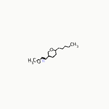 CCCCCC1CCC(/C=C/OC)CO1